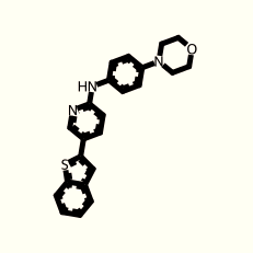 c1ccc2sc(-c3ccc(Nc4ccc(N5CCOCC5)cc4)nc3)cc2c1